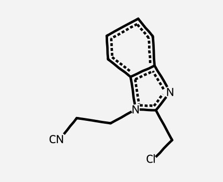 [C-]#[N+]CCn1c(CCl)nc2ccccc21